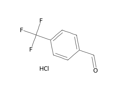 Cl.O=Cc1ccc(C(F)(F)F)cc1